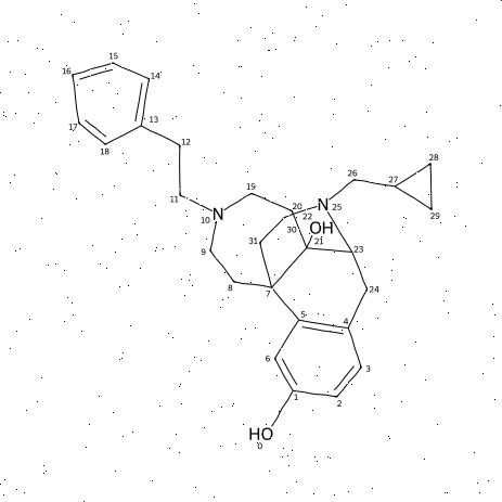 Oc1ccc2c(c1)C13CCN(CCc4ccccc4)CCC1(O)C(C2)N(CC1CC1)CC3